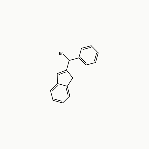 BrC(C1=Cc2ccccc2C1)c1ccccc1